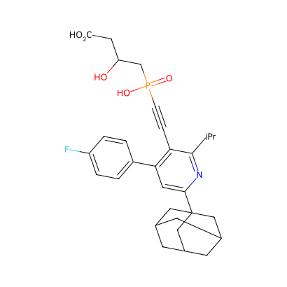 CC(C)c1nc(C23CC4CC(CC(C4)C2)C3)cc(-c2ccc(F)cc2)c1C#CP(=O)(O)CC(O)CC(=O)O